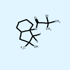 CCC(C)(C)C(=O)OC12CCCCC1CC(O)(C(F)(F)F)C2(F)F